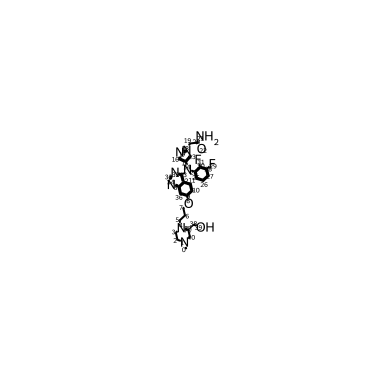 CN1CCN(CCCOc2ccc3c(N(c4cnn(CC(N)=O)c4)c4cccc(F)c4F)ncnc3c2)[C@@H](CO)C1